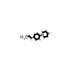 CCC[C@H]1CC[C@@H](N2CC[CH]CC2)CC1